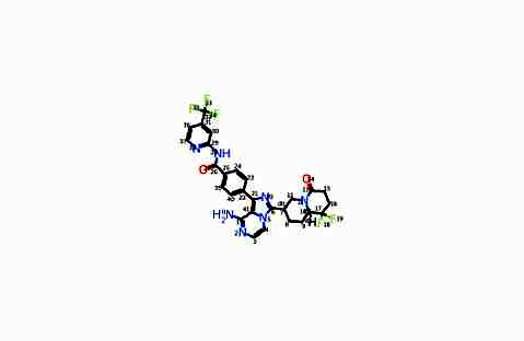 Nc1nccn2c([C@@H]3CC[C@@H]4N(C3)C(=O)CCC4(F)F)nc(-c3ccc(C(=O)Nc4cc(C(F)(F)F)ccn4)cc3)c12